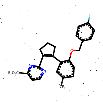 CCOC(=O)c1ccnc(C2=C(c3cc(C(F)(F)F)ccc3OCc3ccc(F)cc3)CCC2)n1